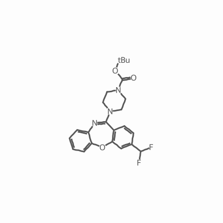 CC(C)(C)OC(=O)N1CCN(C2=Nc3ccccc3Oc3cc(C(F)F)ccc32)CC1